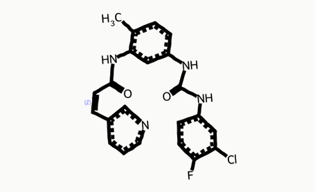 Cc1ccc(NC(=O)Nc2ccc(F)c(Cl)c2)cc1NC(=O)/C=C\c1cccnc1